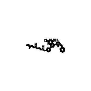 C/C=C(\C)CCNCCCNC[C@@H]1CC[C@H](n2cc(-c3ccn(Cc4ccccc4)n3)c3c(N)nc(Cl)nc32)C1